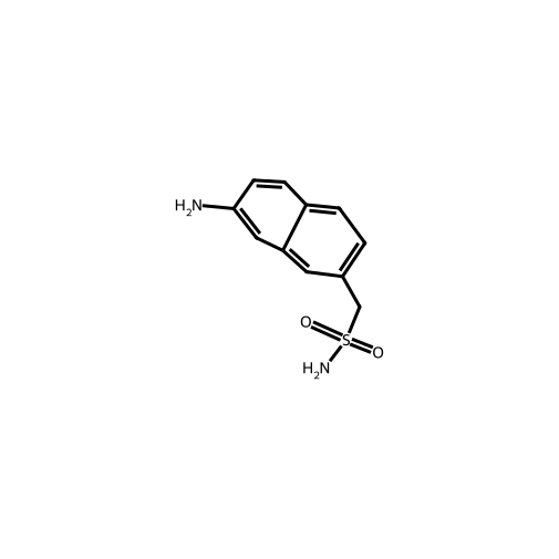 Nc1ccc2ccc(CS(N)(=O)=O)cc2c1